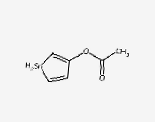 CC(=O)OC1=[CH][SnH2][CH]=C1